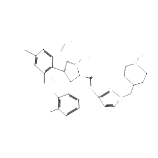 CCCCN1CCC(Cn2ccc(NC(=O)[C@H]3[C@H](c4cccc(Cl)c4F)[C@@](C#N)(c4ccc(Cl)cc4F)[C@H](CC(C)(C)C)N3CCCC)n2)CC1